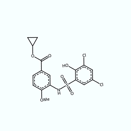 COc1ccc(C(=O)OC2CC2)cc1NS(=O)(=O)c1cc(Cl)cc(Cl)c1O